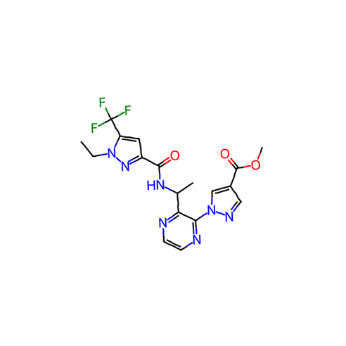 CCn1nc(C(=O)NC(C)c2nccnc2-n2cc(C(=O)OC)cn2)cc1C(F)(F)F